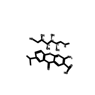 CC(C)c1ccc2oc3nc(N)c(C(=O)O)cc3c(=O)c2c1.CNC[C@H](O)[C@@H](O)[C@H](O)[C@H](O)CO